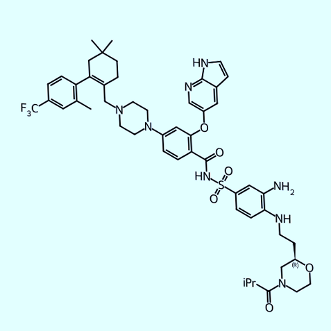 Cc1cc(C(F)(F)F)ccc1C1=C(CN2CCN(c3ccc(C(=O)NS(=O)(=O)c4ccc(NCC[C@@H]5CN(C(=O)C(C)C)CCO5)c(N)c4)c(Oc4cnc5[nH]ccc5c4)c3)CC2)CCC(C)(C)C1